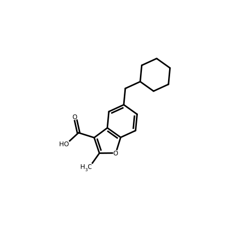 Cc1oc2ccc(CC3CCCCC3)cc2c1C(=O)O